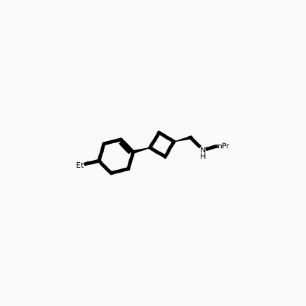 CCCNC[C@H]1C[C@@H](C2=CCC(CC)CC2)C1